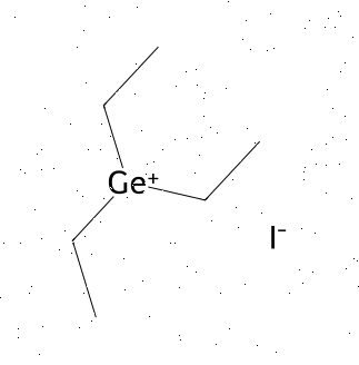 C[CH2][Ge+]([CH2]C)[CH2]C.[I-]